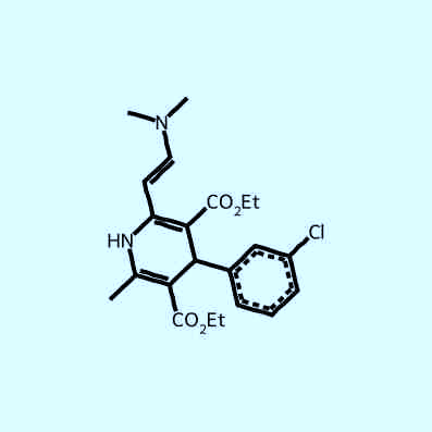 CCOC(=O)C1=C(C)NC(C=CN(C)C)=C(C(=O)OCC)C1c1cccc(Cl)c1